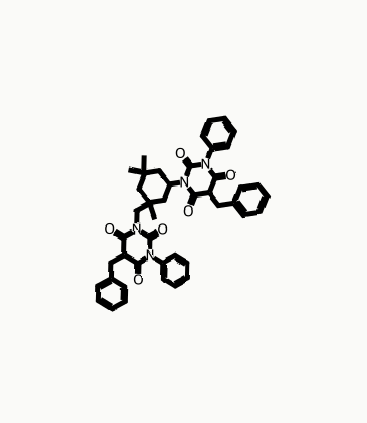 CC1(C)CC(N2C(=O)C(Cc3ccccc3)C(=O)N(c3ccccc3)C2=O)CC(C)(CN2C(=O)C(Cc3ccccc3)C(=O)N(c3ccccc3)C2=O)C1